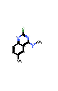 CNc1nc(Cl)nc2ccc(C)cc12